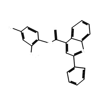 O=C(O)c1cc(Br)ccc1NC(=O)c1cc(-c2ccccc2)nc2ccccc12